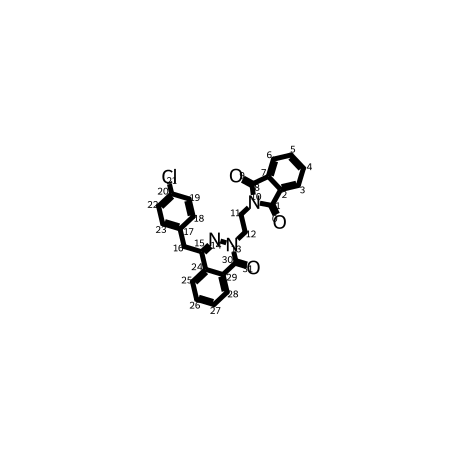 O=C1c2ccccc2C(=O)N1CCn1nc(Cc2ccc(Cl)cc2)c2ccccc2c1=O